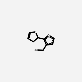 CC(C)Cc1ccsc1C1CC=CS1